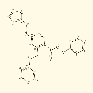 O=C(OCc1ccccc1)c1ccc(NCc2ccco2)cc1OCc1ccccc1